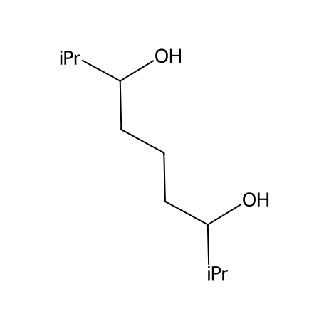 CC(C)C(O)CCCC(O)C(C)C